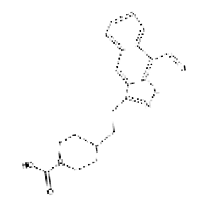 O=Cc1c2ccccc2cc2c(CCC3CCN(C(=O)O)CC3)noc12